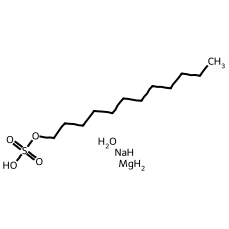 CCCCCCCCCCCCOS(=O)(=O)O.O.[MgH2].[NaH]